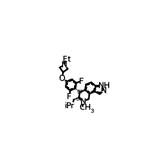 CCN1CC(Oc2cc(F)c([C@@H]3c4ccc5[nH]ncc5c4CN(C)[C@H]3CC(C)C)c(F)c2)C1